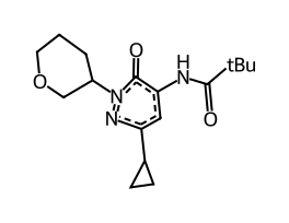 CC(C)(C)C(=O)Nc1cc(C2CC2)nn(C2CCCOC2)c1=O